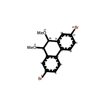 COC1c2cc(Br)ccc2-c2ccc(Br)cc2C1OC